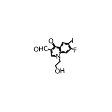 O=Cc1cn(CCO)c2cc(F)c(I)cc2c1=O